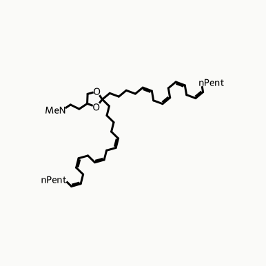 CCCCC/C=C\C/C=C\C/C=C\C/C=C\CCCCC1(CCCC/C=C\C/C=C\C/C=C\C/C=C\CCCCC)OCC(CCNC)O1